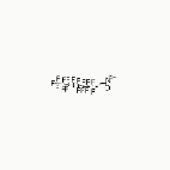 CC1CN1C(=O)CCC(F)(F)C(F)(F)C(F)(F)C(F)(F)C(F)(F)C(F)(F)C(F)(F)C(F)(F)F